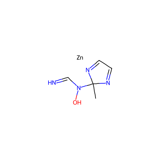 CC1(N(O)C=N)N=CC=N1.[Zn]